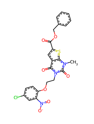 Cn1c(=O)n(CCOc2ccc(Cl)cc2[N+](=O)[O-])c(=O)c2cc(C(=O)OCc3ccccc3)sc21